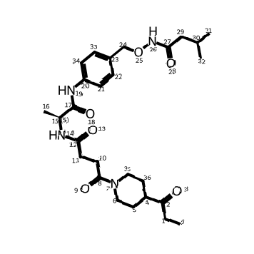 CCC(=O)C1CCN(C(=O)CCC(=O)N[C@@H](C)C(=O)Nc2ccc(CONC(=O)CC(C)C)cc2)CC1